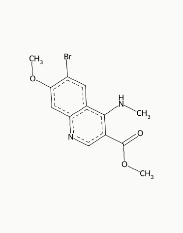 CNc1c(C(=O)OC)cnc2cc(OC)c(Br)cc12